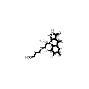 CCCCOC[C@H](C)n1c2s[nH]c(=O)c2c(=O)c2cc(F)c(F)c(F)c21